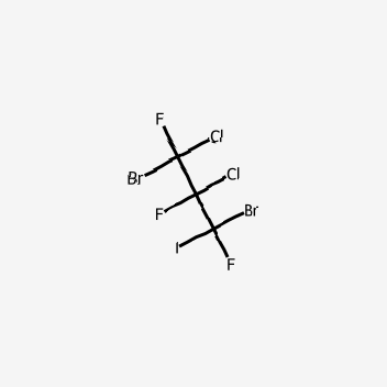 FC(Cl)(Br)C(F)(Cl)C(F)(Br)I